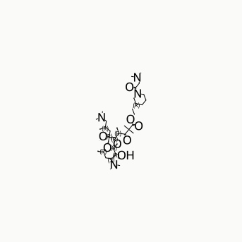 CO[C@](C)(C[C@@H](C)CN(C)C)[C@H](O[C@@H]1O[C@H](C)C[C@H](N(C)C)[C@H]1O)[C@@H](C)C(=O)C(C)(C)C(=O)OCC[C@H]1CCCN(C(=O)CN(C)C)C1